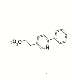 O=C(O)CCc1ccc(-c2ccccc2)nc1